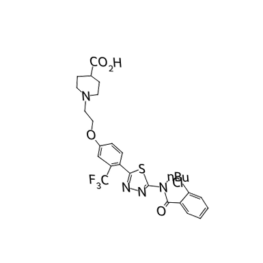 CCCCN(C(=O)c1ccccc1Cl)c1nnc(-c2ccc(OCCN3CCC(C(=O)O)CC3)cc2C(F)(F)F)s1